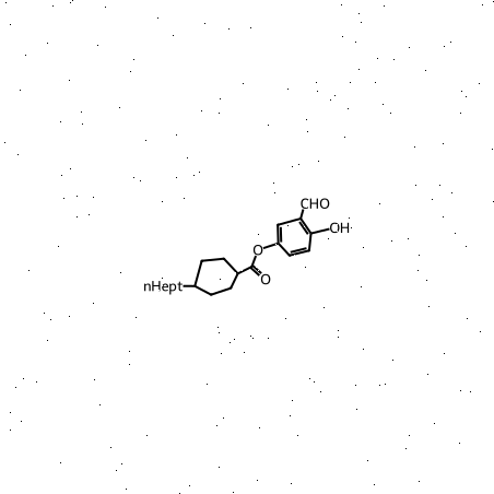 CCCCCCCC1CCC(C(=O)Oc2ccc(O)c(C=O)c2)CC1